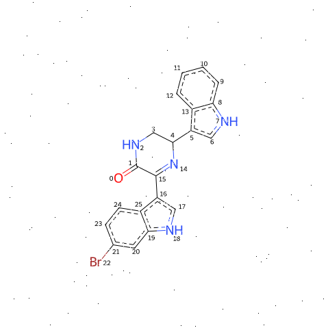 O=C1NCC(c2c[nH]c3ccccc23)N=C1c1c[nH]c2cc(Br)ccc12